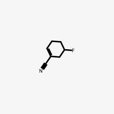 N#CC1=CCCC(F)C1